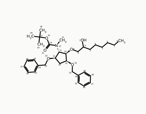 CCCCCCC(O)CO[C@@H]1[C@@H](N(C)C(=O)OC(C)(C)C)[C@H](OCc2ccccc2)C[C@@H]1OCc1ccccc1